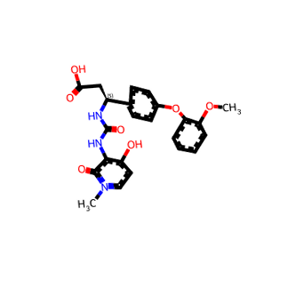 COc1ccccc1Oc1ccc([C@H](CC(=O)O)NC(=O)Nc2c(O)ccn(C)c2=O)cc1